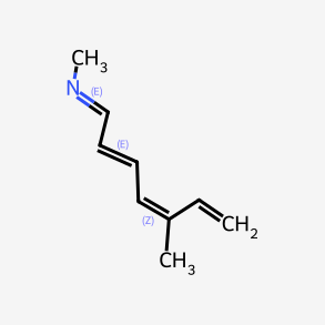 C=C\C(C)=C/C=C/C=N/C